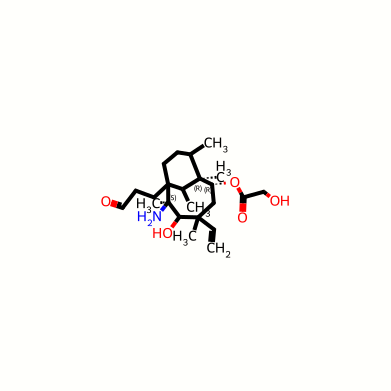 C=CC1(C)C[C@@H](OC(=O)CO)[C@]2(C)C(C)CCC(CCC=O)(C2C)[C@](C)(N)C1O